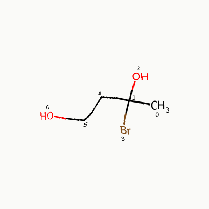 CC(O)(Br)CCO